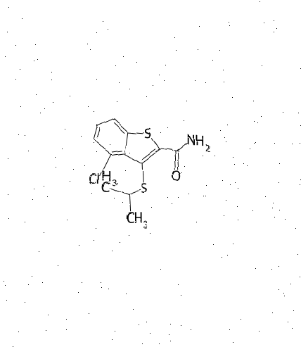 CC(C)Sc1c(C(N)=O)sc2cccc(Cl)c12